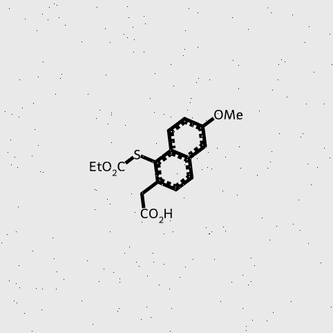 CCOC(=O)Sc1c(CC(=O)O)ccc2cc(OC)ccc12